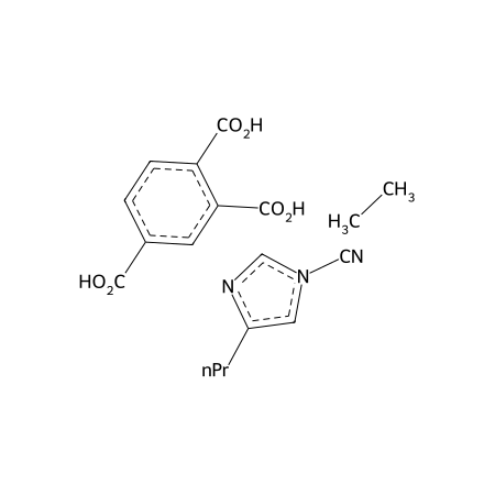 CC.CCCc1cn(C#N)cn1.O=C(O)c1ccc(C(=O)O)c(C(=O)O)c1